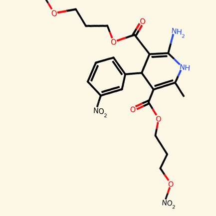 CC1=C(C(=O)OCCCO[N+](=O)[O-])C(c2cccc([N+](=O)[O-])c2)C(C(=O)OCCCO[N+](=O)[O-])=C(N)N1